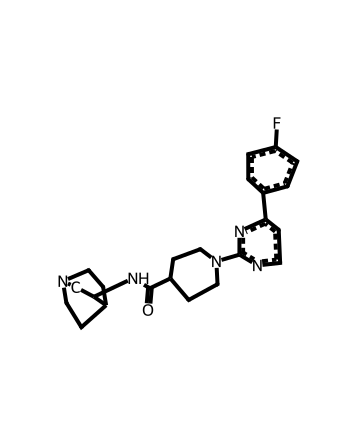 O=C(NC1CN2CCC1CC2)C1CCN(c2nccc(-c3ccc(F)cc3)n2)CC1